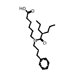 CCCC(CCC)C(=O)N(CCCCCC(=O)O)CCCc1ccccc1